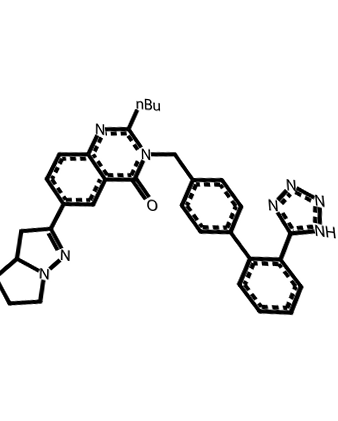 CCCCc1nc2ccc(C3=NN4CCCC4C3)cc2c(=O)n1Cc1ccc(-c2ccccc2-c2nnn[nH]2)cc1